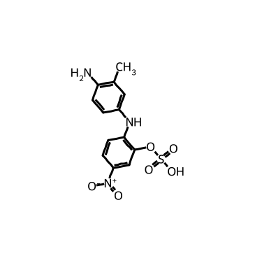 Cc1cc(Nc2ccc([N+](=O)[O-])cc2OS(=O)(=O)O)ccc1N